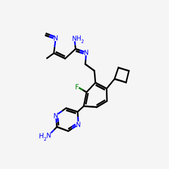 C=N/C(C)=C\C(N)=N/CCc1c(C2CCC2)ccc(-c2cnc(N)cn2)c1F